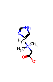 C[N+](C)(C)CC(=O)[O-].c1c[nH]cn1